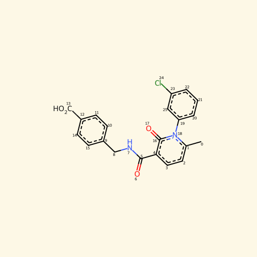 Cc1ccc(C(=O)NCc2ccc(C(=O)O)cc2)c(=O)n1-c1cccc(Cl)c1